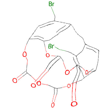 O=C1OC(=O)Oc2cc3c(Br)cc2oc(=O)oc(=O)oc2cc(Br)c3cc2O1